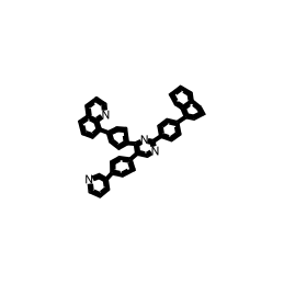 c1cncc(-c2ccc(-c3cnc(-c4ccc(-c5cccc6ccccc56)cc4)nc3-c3ccc(-c4cccc5cccnc45)cc3)cc2)c1